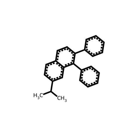 CC(C)c1ccc2ccc(-c3ccccc3)c(-c3ccccc3)c2c1